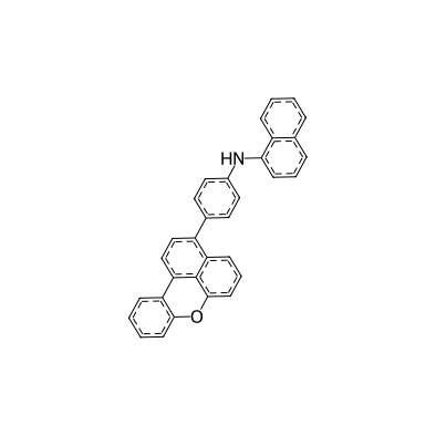 c1ccc2c(c1)Oc1cccc3c(-c4ccc(Nc5cccc6ccccc56)cc4)ccc-2c13